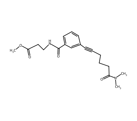 COC(=O)CCNC(=O)c1cccc(C#CCCCC(=O)N(C)C)c1